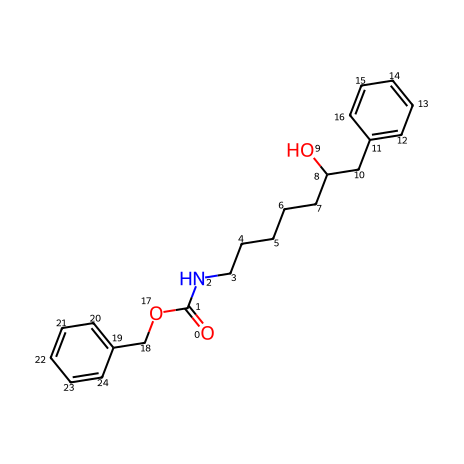 O=C(NCCCCCC(O)Cc1ccccc1)OCc1ccccc1